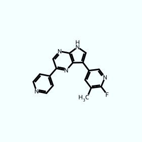 Cc1cc(-c2c[nH]c3ncc(-c4ccncc4)nc23)cnc1F